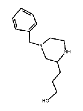 OCCCC1CN(Cc2ccccc2)CCN1